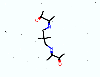 CC(=O)C(C)=NCC(C)(C)CN=C(C)C(C)=O